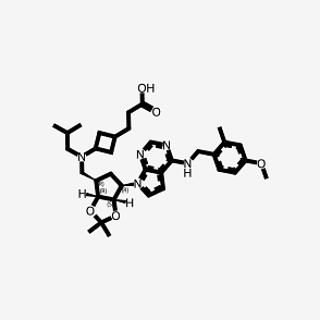 COc1ccc(CNc2ncnc3c2ccn3[C@@H]2C[C@H](CN(CC(C)C)C3CC(CCC(=O)O)C3)[C@H]3OC(C)(C)O[C@H]32)c(C)c1